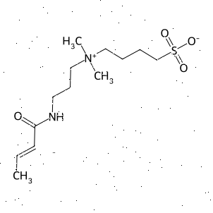 CC=CC(=O)NCCC[N+](C)(C)CCCCS(=O)(=O)[O-]